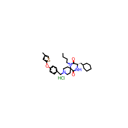 CCCCN1C(=O)[C@H](CC2CCCCC2)NC(=O)C12CCN(Cc1ccc(Oc3cc(C)cs3)cc1)CC2.Cl